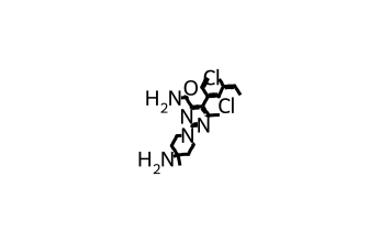 C=C/C(=C(Cl)\C(Cl)=C/C)c1c(C)nc(N2CCC(C)(N)CC2)nc1C(N)=O